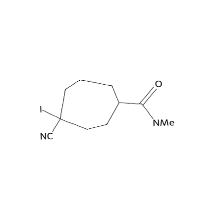 CNC(=O)C1CCCC(I)(C#N)CC1